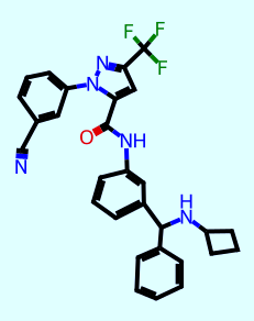 N#Cc1cccc(-n2nc(C(F)(F)F)cc2C(=O)Nc2cccc(C(NC3CCC3)c3ccccc3)c2)c1